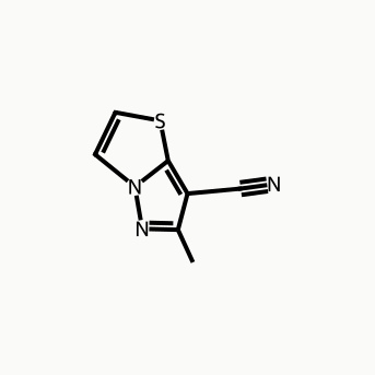 Cc1nn2ccsc2c1C#N